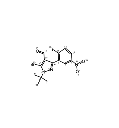 CC(C)(C)n1nc(-c2cc([N+](=O)[O-])ccc2F)c(C=O)c1Br